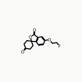 O=C1CCC2(CC1)OC(=O)c1cc(OCCF)ccc12